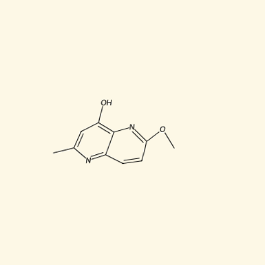 COc1ccc2nc(C)cc(O)c2n1